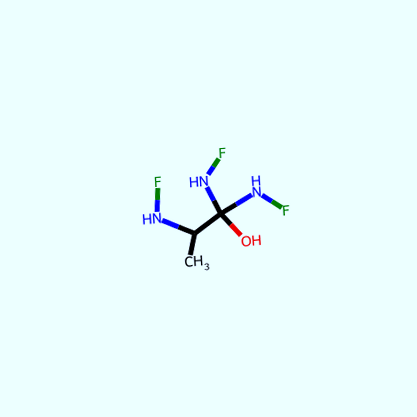 CC(NF)C(O)(NF)NF